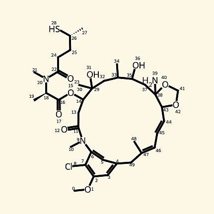 COc1cc2cc(c1Cl)N(C)C(=O)CC(OC(=O)[C@@H](C)N(C)C(=O)CC[C@@H](C)S)C(C)(O)CC(C)C(O)CC1(N)OCOC1/C=C/C=C(\C)C2